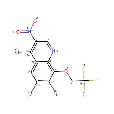 O=[N+]([O-])c1cnc2c(OCC(F)(F)F)c(Br)c(Cl)cc2c1Cl